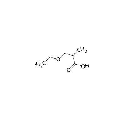 [CH2]COCC(=C)C(=O)O